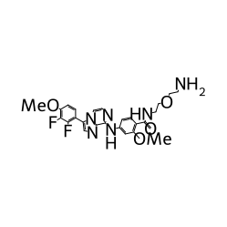 COc1cc(Nc2nccn3c(-c4ccc(OC)c(F)c4F)cnc23)ccc1C(=O)NCCOCCN